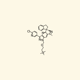 COc1cc2c(nc1C1(C#N)CCc3ccccc31)c(-c1ccc(Cl)nc1)nn2COCC[Si](C)(C)C